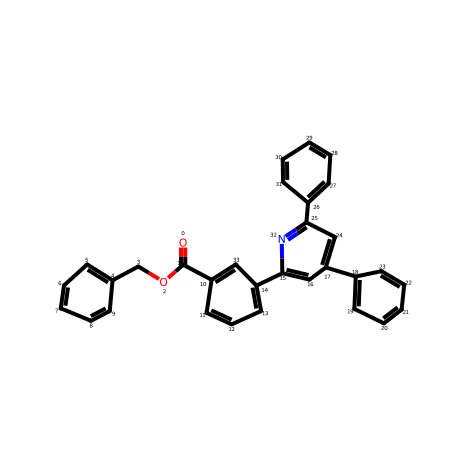 O=C(OCc1ccccc1)c1cccc(-c2cc(-c3ccccc3)cc(-c3ccccc3)n2)c1